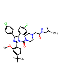 CCOc1cc(C(C)(C)C#N)ccc1C1=NC(c2ccc(Cl)cc2)C(c2ccc(Cl)cc2)N1C(=O)N1CCN(CC(=O)NCC(C)OC)CC1